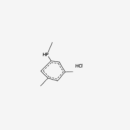 CPc1cc(C)cc(C)c1.Cl